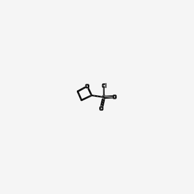 O=S(=O)(Cl)C1CCO1